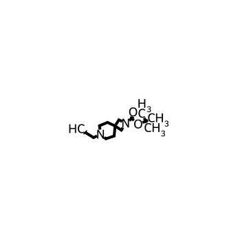 C#CCN1CCC2(CC1)CN(C(=O)OC(C)(C)C)C2